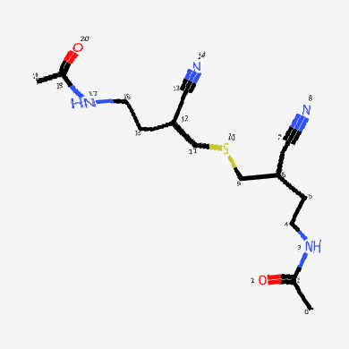 CC(=O)NCCC(C#N)CSCC(C#N)CCNC(C)=O